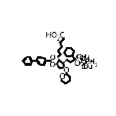 CC(CC[C@H]1C(OC2CCCCO2)C[C@H](OC(=O)c2ccc(-c3ccccc3)cc2)[C@@H]1CCCCCCC(=O)O)(O[Si](C)(C)C(C)(C)C)C1CCCCC1